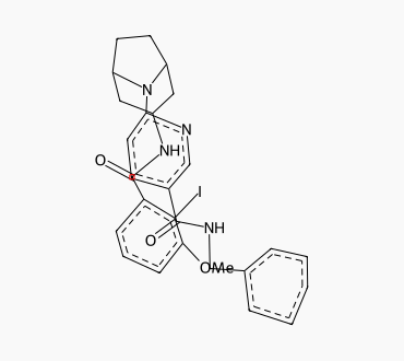 COc1cccc(C(=O)NC2CC3CCC(C2)N3c2ccc(C(=O)NCc3ccccc3)cn2)c1I